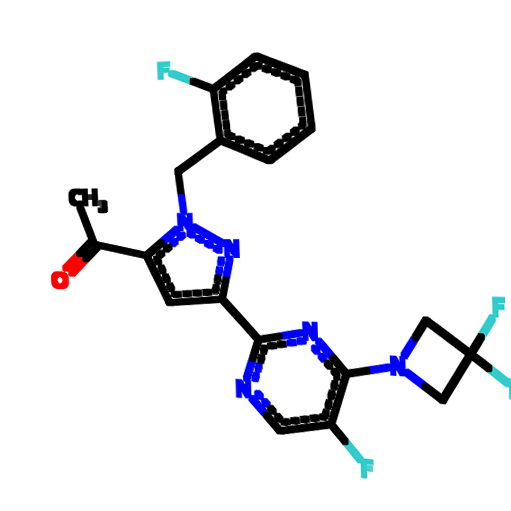 CC(=O)c1cc(-c2ncc(F)c(N3CC(F)(F)C3)n2)nn1Cc1ccccc1F